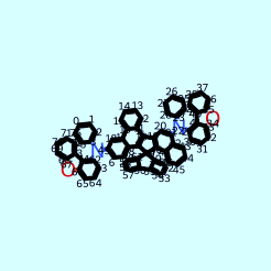 c1ccc(N(c2ccc3c4c(c5ccccc5c3c2)-c2cc(N(c3ccccc3)c3cccc5oc6ccccc6c35)c3ccccc3c2C42c3ccccc3-c3ccccc32)c2cccc3oc4ccccc4c23)cc1